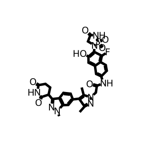 Cc1nn(CC(=O)Nc2ccc3c(F)c(N4CC(=O)NS4(=O)=O)c(O)cc3c2)c(C)c1-c1ccc2c(C3CCC(=O)NC3=O)nn(C)c2c1